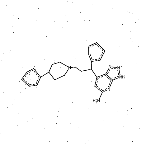 Nc1cc(C(CCN2CCC(c3ccccc3)CC2)c2ccccc2)c2nn[nH]c2n1